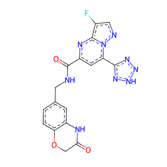 O=C1COc2ccc(CNC(=O)c3cc(-c4nn[nH]n4)n4ncc(F)c4n3)cc2N1